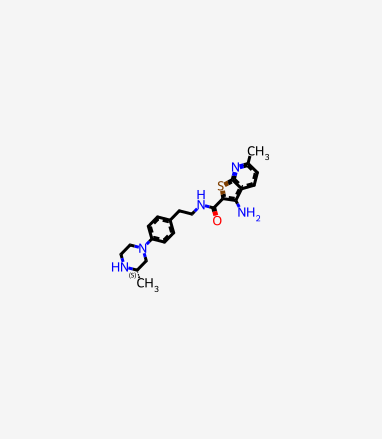 Cc1ccc2c(N)c(C(=O)NCCc3ccc(N4CCN[C@@H](C)C4)cc3)sc2n1